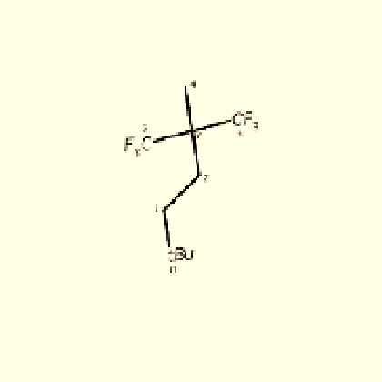 CC(C)(C)CCC(C)(C(F)(F)F)C(F)(F)F